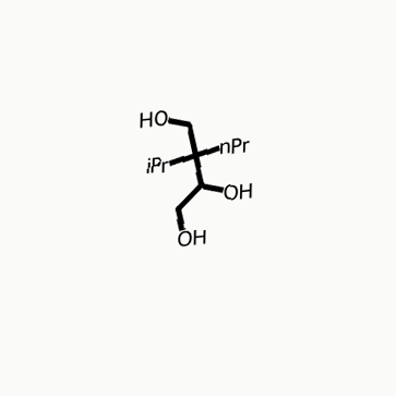 CCCC(CO)(C(C)C)C(O)CO